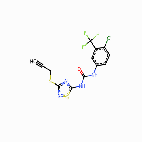 C#CCSc1nsc(NC(=O)Nc2ccc(Cl)c(C(F)(F)F)c2)n1